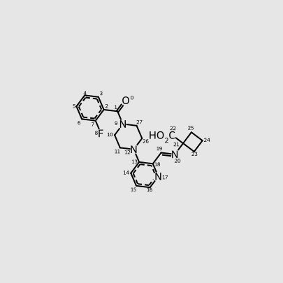 O=C(c1ccccc1F)N1CCN(c2cccnc2C=NC2(C(=O)O)CCC2)CC1